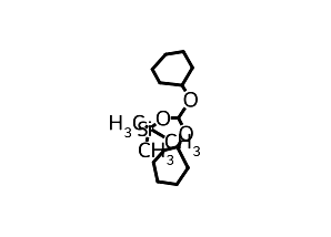 C[Si](C)(C)OC(OC1CCCCC1)OC1CCCCC1